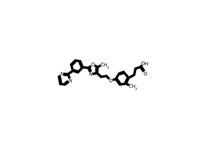 Cc1cc(OCCc2nc(-c3cccc(-c4ncccn4)c3)oc2C)ccc1CCC(=O)O